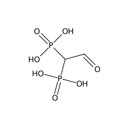 O=CC(P(=O)(O)O)P(=O)(O)O